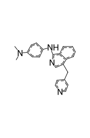 CN(C)c1ccc(Nc2ncc(Cc3ccncc3)c3ccccc23)cc1